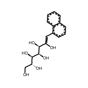 OC[C@@H](O)[C@@H](O)[C@H](O)[C@@H](O)C(O)=Cc1cccc2ccccc12